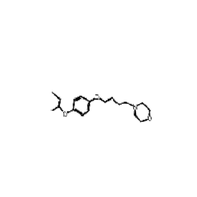 CCC(C)Oc1ccc(OCCCCN2CCOCC2)cc1